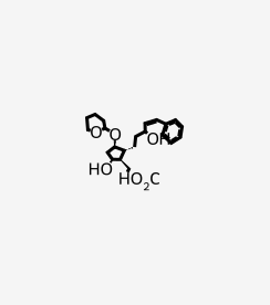 O=C(O)C[C@@H]1[C@@H](CCC(O)/C=C\c2ccccc2)[C@H](OC2CCCCO2)C[C@@H]1O